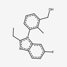 CCc1nc2ccc(F)cc2n1-c1cccc(CO)c1C